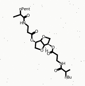 CCCCCC(C)C(=O)NCCC(=O)O[C@@H]1CO[C@H]2C1OC[C@H]2OC(=O)CCNC(=O)C(C)CCCC